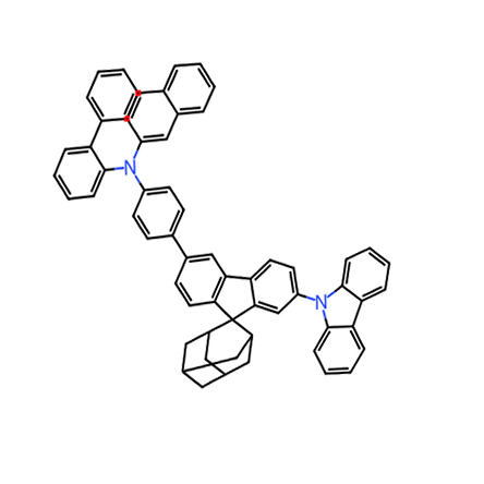 c1ccc(-c2ccccc2N(c2ccc(-c3ccc4c(c3)-c3ccc(-n5c6ccccc6c6ccccc65)cc3C43C4CC5CC(C4)CC3C5)cc2)c2ccc3ccccc3c2)cc1